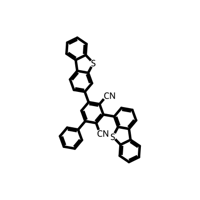 N#Cc1c(-c2ccccc2)cc(-c2ccc3c(c2)sc2ccccc23)c(C#N)c1-c1cccc2c1sc1ccccc12